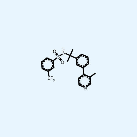 Cc1cnccc1-c1cccc(C(C)(C)NS(=O)(=O)c2cccc(C(F)(F)F)c2)c1